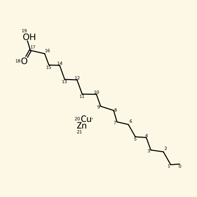 CCCCCCCCCCCCCCCCCC(=O)O.[Cu].[Zn]